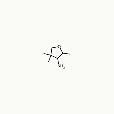 CC1OCC(C)(C)C1N